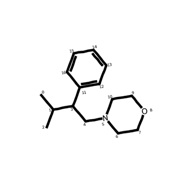 CC(C)C(CN1CCOCC1)c1ccccc1